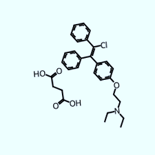 CCN(CC)CCOc1ccc(/C(=C(\Cl)c2ccccc2)c2ccccc2)cc1.O=C(O)CCC(=O)O